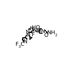 NC(=O)CN1CC[C@@H](CNc2ncnc(N(Cc3ccc(C(F)(F)F)nc3)C3CC3)c2F)[C@H](O)C1